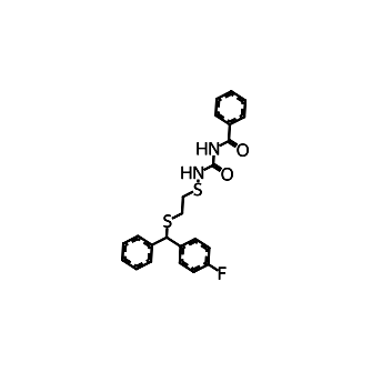 O=C(NSCCSC(c1ccccc1)c1ccc(F)cc1)NC(=O)c1ccccc1